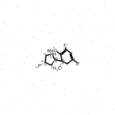 COC1=C(F)C=C(F)C[C@@]1(C)[C@H]1C[C@H](F)CN1